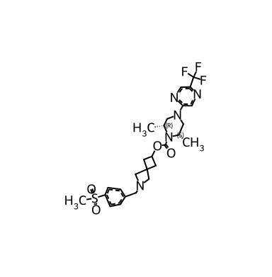 C[C@@H]1CN(c2cnc(C(F)(F)F)cn2)C[C@H](C)N1C(=O)OC1CC2(C1)CN(Cc1ccc(S(C)(=O)=O)cc1)C2